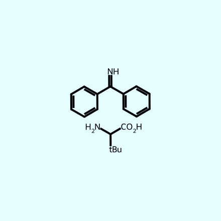 CC(C)(C)C(N)C(=O)O.N=C(c1ccccc1)c1ccccc1